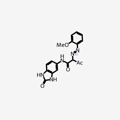 COc1ccccc1/N=N/C(C(C)=O)C(=O)Nc1ccc2[nH]c(=O)[nH]c2c1